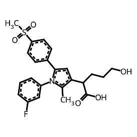 Cc1c(C(CCCO)C(=O)O)cc(-c2ccc(S(C)(=O)=O)cc2)n1-c1cccc(F)c1